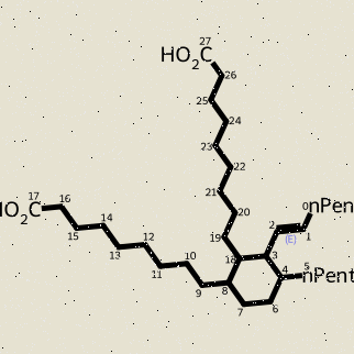 CCCCC/C=C/C1C(CCCCC)CCC(CCCCCCCCC(=O)O)C1CCCCCCCCC(=O)O